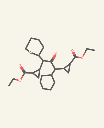 CCOC(=O)C1CC1C(C(=O)C(C1CCCCC1)C1CC1C(=O)OCC)C1CCCCC1